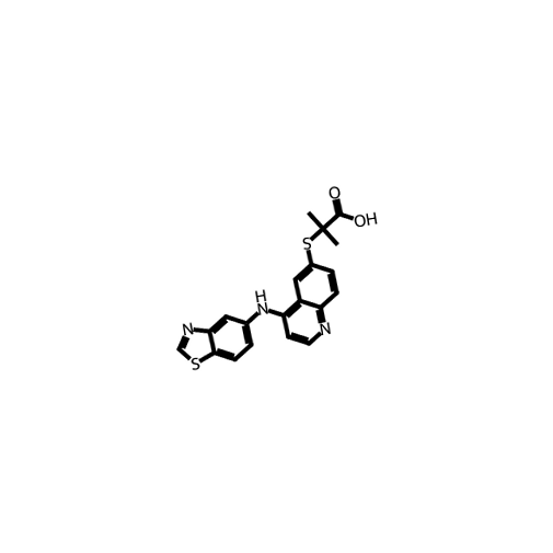 CC(C)(Sc1ccc2nccc(Nc3ccc4scnc4c3)c2c1)C(=O)O